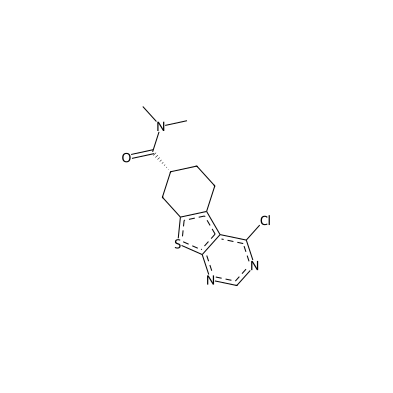 CN(C)C(=O)[C@@H]1CCc2c(sc3ncnc(Cl)c23)C1